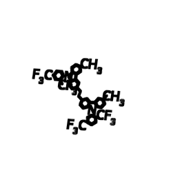 Cc1ccc2c(c1)c1cc(CCc3ccc4c(c3)c3cc(C)ccc3n4-c3ccc(C(F)(F)F)cc3C(F)(F)F)ccc1n2-c1cc(C(F)(F)F)ccc1C(F)(F)F